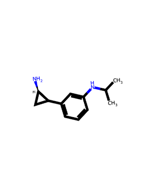 CC(C)Nc1cccc(C2C[C@H]2N)c1